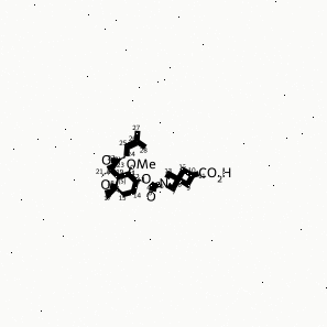 CO[C@@H]1[C@H](OC(=O)N2CC3(CC(C(=O)O)C3)C2)CC[C@]2(CO2)[C@H]1[C@@]1(C)O[C@@H]1CC=C(C)C